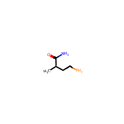 CC(CCP)C(N)=O